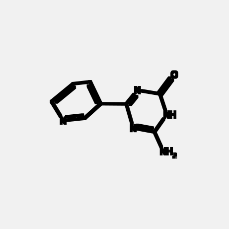 Nc1nc(-c2cccnc2)nc(=O)[nH]1